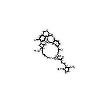 CO[C@H]1/C=C/CCCS(=O)(NC(=O)CCc2c(C)cnn2C)=NC(=O)c2ccc3c(c2)N(C[C@@H]2CC[C@H]21)C[C@@]1(CCCc2cc(Cl)ccc21)CO3